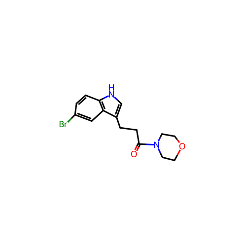 O=C(CCc1c[nH]c2ccc(Br)cc12)N1CCOCC1